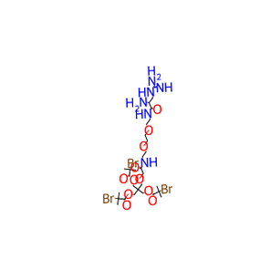 CC(C)(Br)C(=O)OCC(COCC(=O)NCCOCCOCCNC(=O)C(N)CNC(=N)N)(COC(=O)C(C)(C)Br)COC(=O)C(C)(C)Br